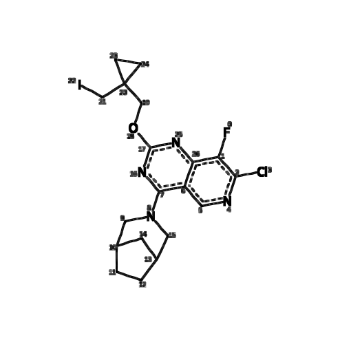 Fc1c(Cl)ncc2c(N3CC4CCC(C4)C3)nc(OCC3(CI)CC3)nc12